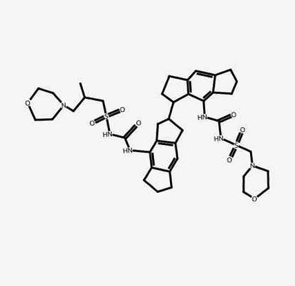 CC(CN1CCOCC1)CS(=O)(=O)NC(=O)Nc1c2c(cc3c1CC(C1CCc4cc5c(c(NC(=O)NS(=O)(=O)CN6CCOCC6)c41)CCC5)C3)CCC2